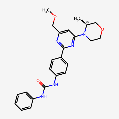 COCc1cc(N2CCOC[C@@H]2C)nc(-c2ccc(NC(=O)Nc3ccccc3)cc2)n1